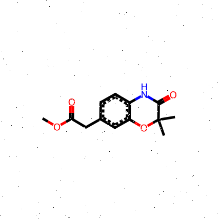 COC(=O)Cc1ccc2c(c1)OC(C)(C)C(=O)N2